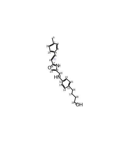 Cc1ccc(/C=C/c2nc(CNc3ccc(CCCCO)cc3)co2)cc1